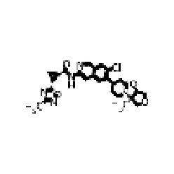 Cc1noc([C@@H]2C[C@H]2C(=O)Nc2cc3cc(C4CCN([C@]5(C)COC[C@@H]5O)CC4)c(Cl)cc3cn2)n1